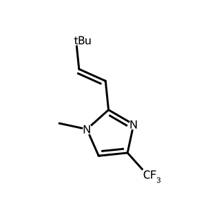 Cn1cc(C(F)(F)F)nc1/C=C/C(C)(C)C